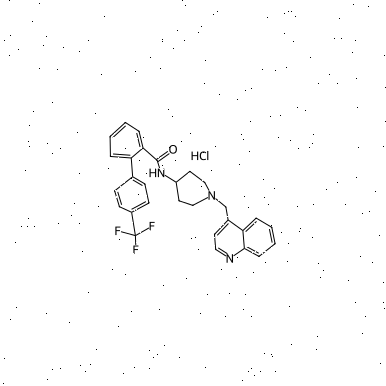 Cl.O=C(NC1CCN(Cc2ccnc3ccccc23)CC1)c1ccccc1-c1ccc(C(F)(F)F)cc1